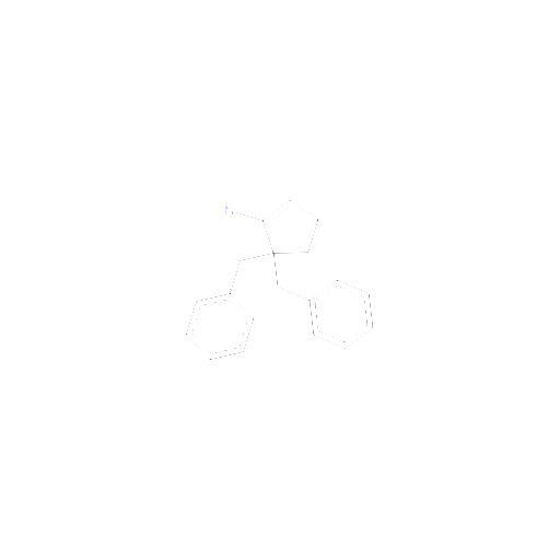 NC1=CCCC1(Cc1ccccc1)Cc1ccccc1